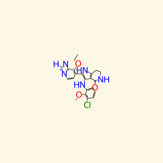 CCOc1c(-c2[nH]c3c(c2Nc2cccc(Cl)c2OC)C(=O)NCC3)ccnc1N